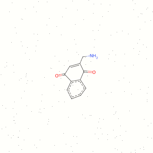 NCC1=CC(=O)c2ccccc2C1=O